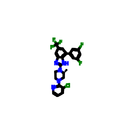 C[C@@H]1CN(c2ncccc2Cl)CCN1c1nc2cc(C(F)(F)F)cc(-c3cc(F)cc(F)c3)c2[nH]1